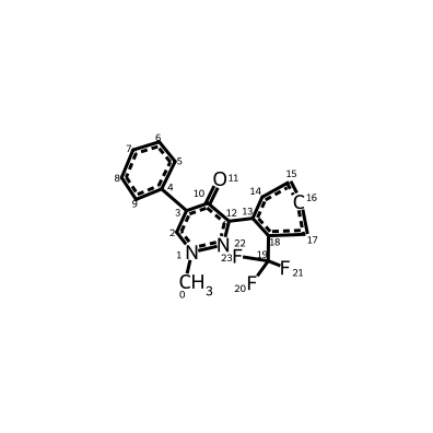 Cn1cc(-c2ccccc2)c(=O)c(-c2ccccc2C(F)(F)F)n1